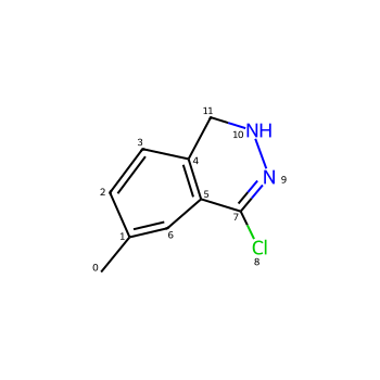 Cc1ccc2c(c1)C(Cl)=NNC2